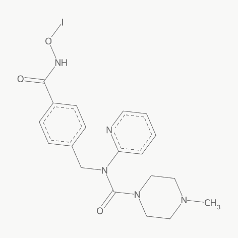 CN1CCN(C(=O)N(Cc2ccc(C(=O)NOI)cc2)c2ccccn2)CC1